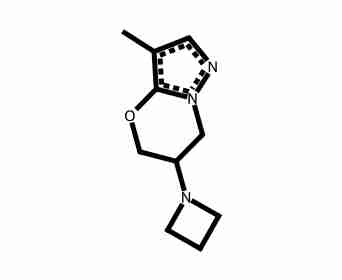 Cc1cnn2c1OCC(N1CCC1)C2